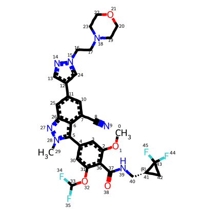 COc1cc(-c2c3c(C#N)cc(-c4cnn(CCN5CCOCC5)c4)cc3nn2C)cc(OC(F)F)c1C(=O)NC[C@H]1CC1(F)F